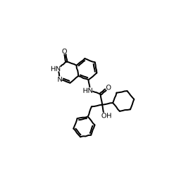 O=C(Nc1cccc2c(=O)[nH]ncc12)C(O)(Cc1ccccc1)C1CCCCC1